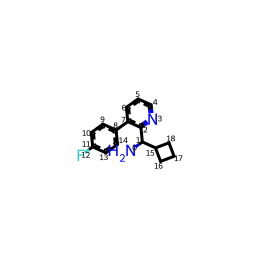 NC(c1ncccc1-c1ccc(F)cc1)C1CCC1